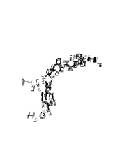 CCc1cnc(N2CC[C@@H](Oc3ccn(-c4ccc(S(C)(=O)=O)cc4)c(=O)c3)C[C@H]2CC)nc1